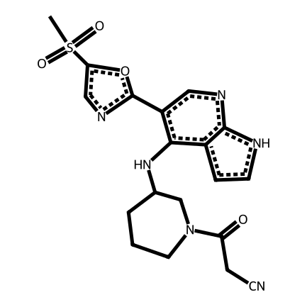 CS(=O)(=O)c1cnc(-c2cnc3[nH]ccc3c2NC2CCCN(C(=O)CC#N)C2)o1